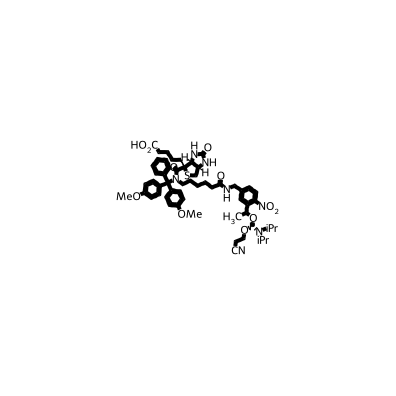 COc1ccc(C(c2ccccc2)(c2ccc(OC)cc2)N(CCCCCC(=O)NCc2ccc([N+](=O)[O-])c(C(C)OP(OCCC#N)N(C(C)C)C(C)C)c2)C(=O)[C@@]2(CCCCC(=O)O)SC[C@@H]3NC(=O)N[C@@H]32)cc1